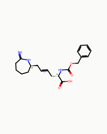 N=C1CCCC[C@H](C/C=C/C[C@H](NC(=O)OCc2ccccc2)C(=O)O)N1